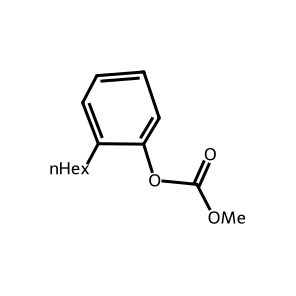 CCCCCCc1ccccc1OC(=O)OC